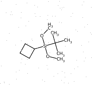 CO[Si](OC)(C1CCC1)C(C)(C)C